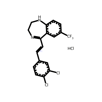 Cl.FC(F)(F)c1ccc2c(c1)C(/C=C/c1ccc(Cl)c(Cl)c1)=NCCN2